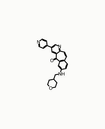 O=c1c2cc(NCC3CCOCC3)ccc2ccc2ncc(-c3ccncc3)cc12